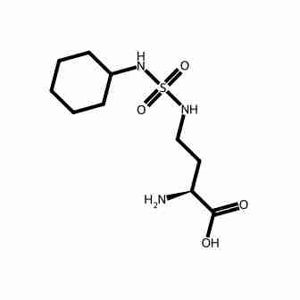 N[C@@H](CCNS(=O)(=O)NC1CCCCC1)C(=O)O